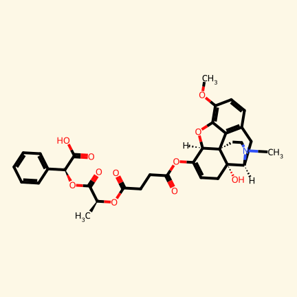 COc1ccc2c3c1O[C@@H]1C(OC(=O)CCC(=O)O[C@@H](C)C(=O)O[C@H](C(=O)O)c4ccccc4)=CC[C@]4(O)[C@H](C2)N(C)CC[C@@]314